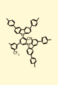 Cc1ccc(-c2ccc3c(c2)c2cc(-c4ccc(C)cc4)ccc2n3-c2cc(-c3cc(C)cc(C(F)(F)F)c3)cc(-n3c4ccc(-c5ccc(C)cc5)cc4c4cc(-c5ccc(C)cc5)ccc43)c2C#N)cc1